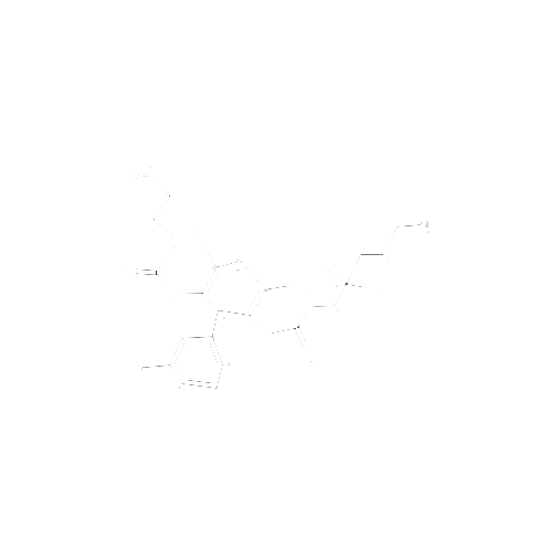 COCCOC(=O)OC1=C(C)NC(C)=C(OC(=O)OCC(C)(C)CCCN)C1c1cccc([N+](=O)[O-])c1